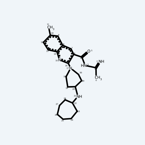 CC(=N)NC(=O)c1cc2cc(C)ccc2nc1N1CCC(NC2CCCCCC2)CC1